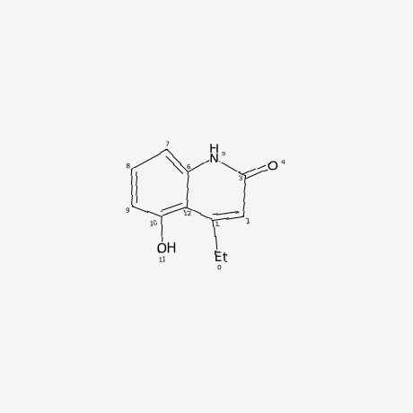 CCc1cc(=O)[nH]c2cccc(O)c12